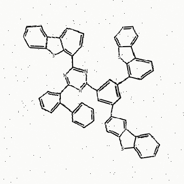 c1ccc(-c2ccccc2-c2nc(-c3cc(-c4ccc5sc6ccccc6c5c4)cc(-c4cccc5c4sc4ccccc45)c3)nc(-c3cccc4c3sc3ccccc34)n2)cc1